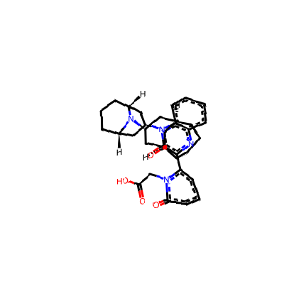 O=C(O)Cn1c(-c2nc3ccccc3n([C@@H]3C[C@H]4CCC[C@@H](C3)N4[C@@H]3C[C@@H]4CCCC[C@@H](C4)C3)c2=O)cccc1=O